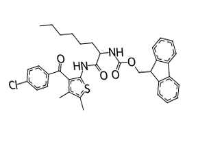 CCCCCCC(NC(=O)OCC1c2ccccc2-c2ccccc21)C(=O)Nc1sc(C)c(C)c1C(=O)c1ccc(Cl)cc1